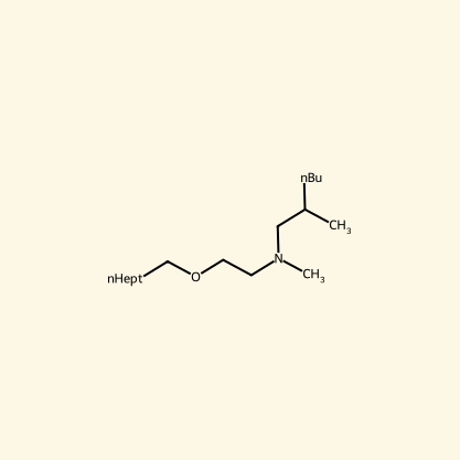 CCCCCCCCOCCN(C)CC(C)CCCC